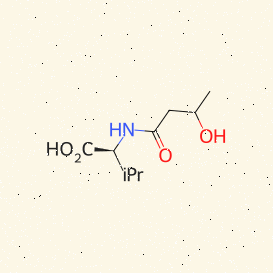 CC(O)CC(=O)N[C@H](C(=O)O)C(C)C